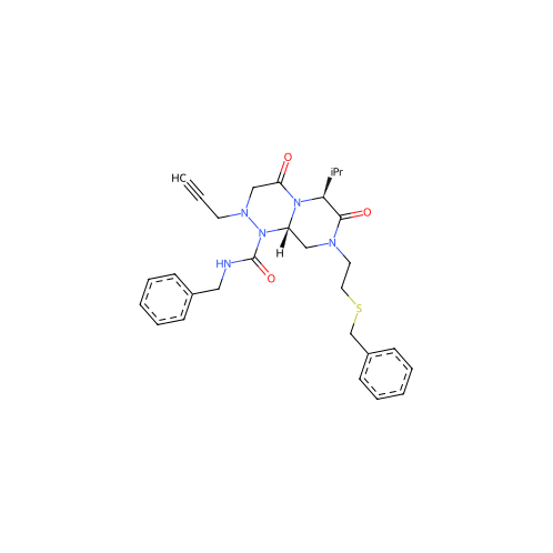 C#CCN1CC(=O)N2[C@@H](C(C)C)C(=O)N(CCSCc3ccccc3)C[C@@H]2N1C(=O)NCc1ccccc1